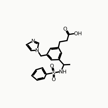 CC(NS(=O)(=O)c1ccccc1)c1cc(CCC(=O)O)cc(Cn2ccnc2)c1